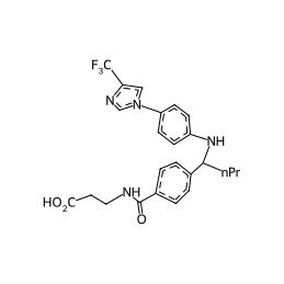 CCCC(Nc1ccc(-n2cnc(C(F)(F)F)c2)cc1)c1ccc(C(=O)NCCC(=O)O)cc1